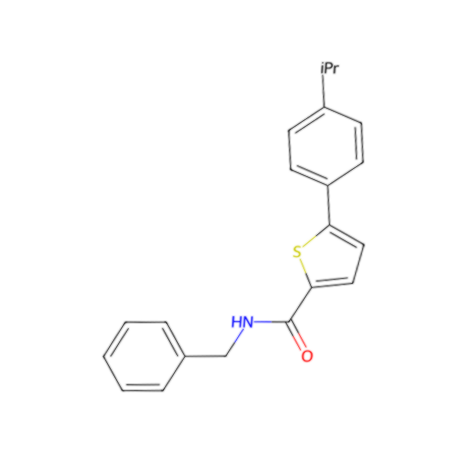 CC(C)c1ccc(-c2ccc(C(=O)NCc3ccccc3)s2)cc1